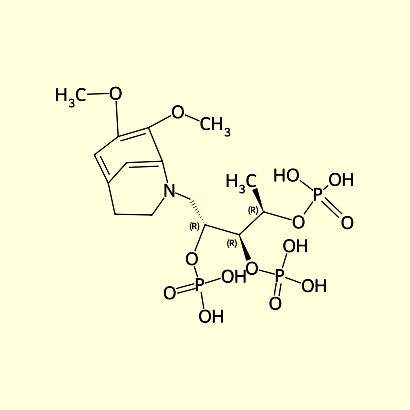 COc1cc2cc(c1OC)N(C[C@@H](OP(=O)(O)O)[C@H](OP(=O)(O)O)[C@@H](C)OP(=O)(O)O)CC2